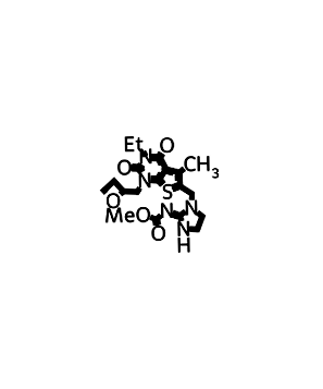 CCn1c(=O)c2c(C)c(CN3CCNC3=NC(=O)OC)sc2n(CC2CCO2)c1=O